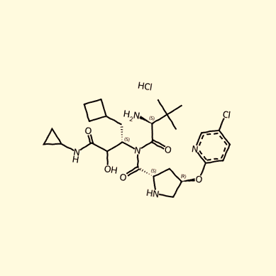 CC(C)(C)[C@H](N)C(=O)N(C(=O)[C@@H]1C[C@@H](Oc2ccc(Cl)cn2)CN1)[C@@H](CC1CCC1)C(O)C(=O)NC1CC1.Cl